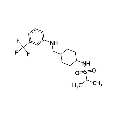 CC(C)S(=O)(=O)NC1CCC(CNc2cccc(C(F)(F)F)c2)CC1